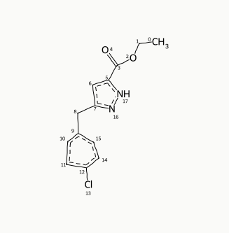 CCOC(=O)c1cc(Cc2ccc(Cl)cc2)n[nH]1